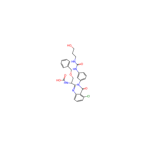 O=C(O)NC(COCc1ccccc1)c1nc2cccc(Cl)c2c(=O)n1-c1cccc(NC(=O)NCCCO)c1